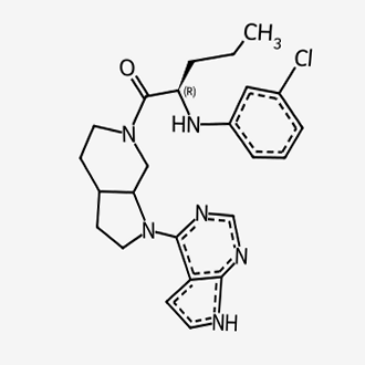 CCC[C@@H](Nc1cccc(Cl)c1)C(=O)N1CCC2CCN(c3ncnc4[nH]ccc34)C2C1